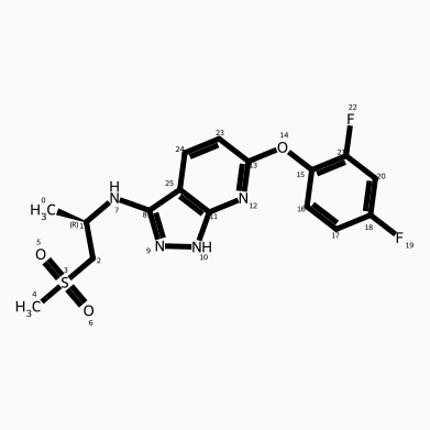 C[C@H](CS(C)(=O)=O)Nc1n[nH]c2nc(Oc3ccc(F)cc3F)ccc12